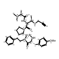 BN[C@H](Cc1ccc(OC)cc1)C(=O)N(CCc1ccccc1)C[C@@H]1CCCN1C(=O)[C@@H](NC(=O)[C@H](C)N(C)C)[C@@H](C)OCC#C